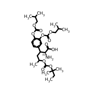 CCC(C)(C)OC(=O)OC(C)CC(c1ccc(OC(=O)OCC(C)C)c(OC(=O)OCC(C)C)c1)[C@H](N)C(=O)O